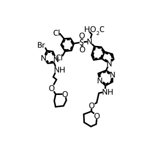 Brc1cnc(NCCOC2CCCCO2)cn1.O=C(O)CN(c1ccc2c(ccn2-c2cnc(NCCOC3CCCCO3)cn2)c1)S(=O)(=O)c1cc(Cl)cc(Cl)c1